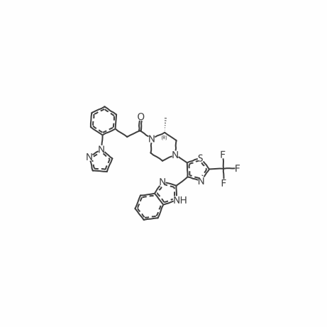 C[C@@H]1CN(c2sc(C(F)(F)F)nc2-c2nc3ccccc3[nH]2)CCN1C(=O)Cc1ccccc1-n1cccn1